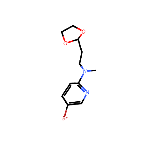 CN(CCC1OCCO1)c1ccc(Br)cn1